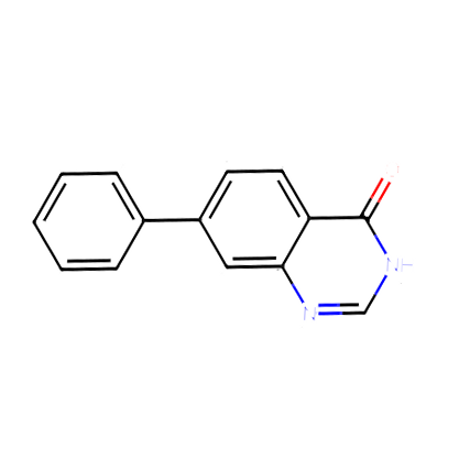 O=c1[nH]cnc2cc(-c3ccccc3)ccc12